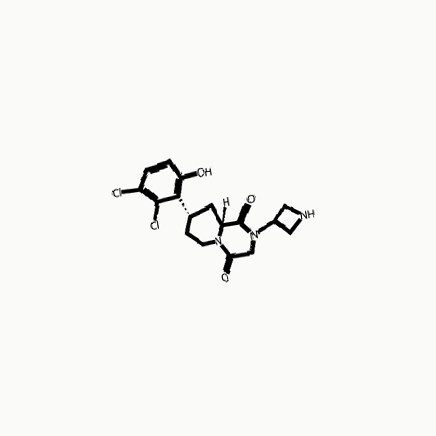 O=C1[C@H]2C[C@@H](c3c(O)ccc(Cl)c3Cl)CCN2C(=O)CN1C1CNC1